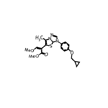 COC=C(C(=O)OC)C1=C(C)N2N=CN(c3ccc(OCC4CC4)cc3)C2S1